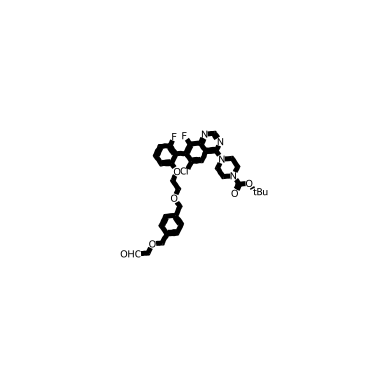 CC(C)(C)OC(=O)N1CCN(c2ncnc3c(F)c(-c4c(F)cccc4OCCOCc4ccc(COCC=O)cc4)c(Cl)cc23)CC1